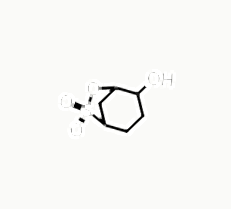 O=S1(=O)OC2CC1CCC2O